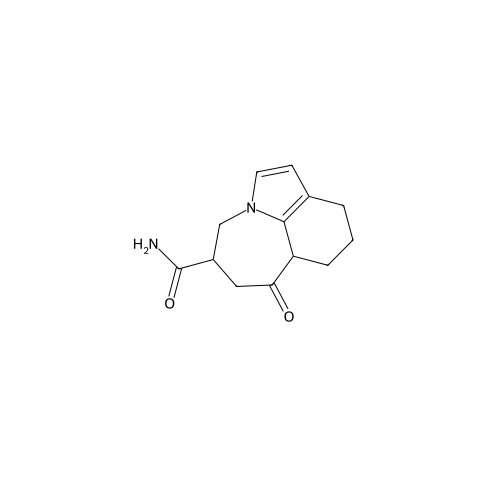 NC(=O)C1CC(=O)C2CCCc3ccn(c32)C1